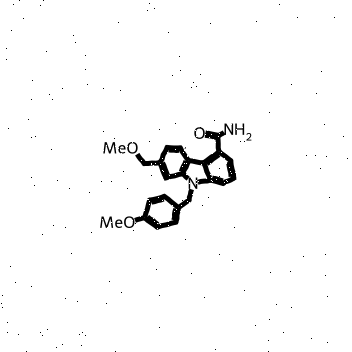 COCc1c[c]c2c3c(C(N)=O)cccc3n(Cc3ccc(OC)cc3)c2c1